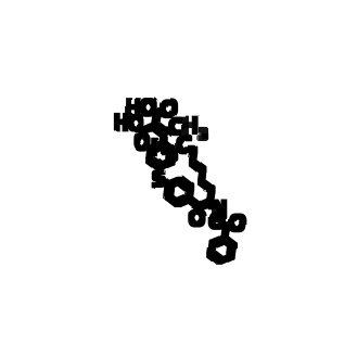 CCCCCCC(=NOC(=O)c1ccccc1)C(=O)c1ccc(Sc2ccc(C(C)=C(C(=O)O)C(=O)O)cc2)cc1